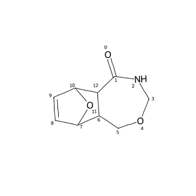 O=C1NCOCC2C3C=CC(O3)C12